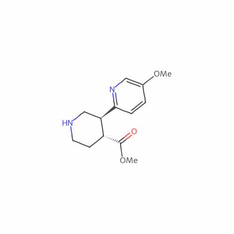 COC(=O)[C@@H]1CCNC[C@H]1c1ccc(OC)cn1